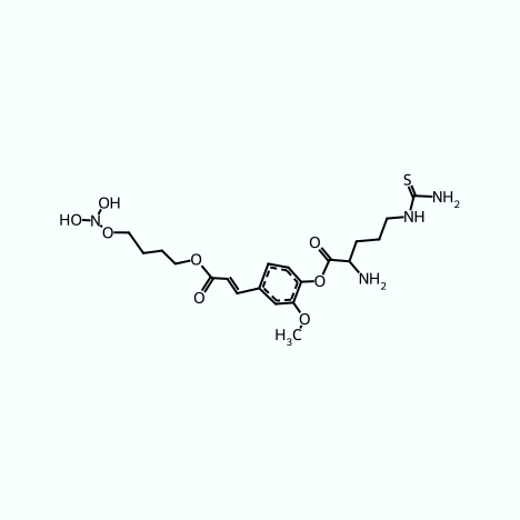 COc1cc(/C=C/C(=O)OCCCCON(O)O)ccc1OC(=O)C(N)CCCNC(N)=S